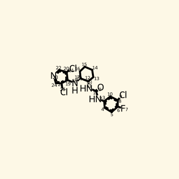 O=C(Nc1ccc(F)c(Cl)c1)N[C@H]1CCCC[C@@H]1Nc1c(Cl)cncc1Cl